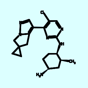 C[C@H]1C[C@H](N)CC[C@H]1Nc1ncc(Cl)c(-c2cnn3c2CC2(CC2)C3)n1